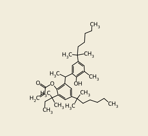 C=CC(=O)Oc1c(C(C)c2cc(C(C)(C)CCCCC)cc(C)c2O)cc(C(C)(C)CCCCC)cc1C(C)(C)CC